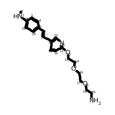 CNc1ccc(/C=C/c2ccc(OCCOCCOCCN)nc2)cc1